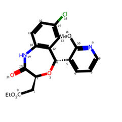 CCOC(=O)C[C@@H]1O[C@@H](c2cccnc2OC)c2cc(Cl)ccc2NC1=O